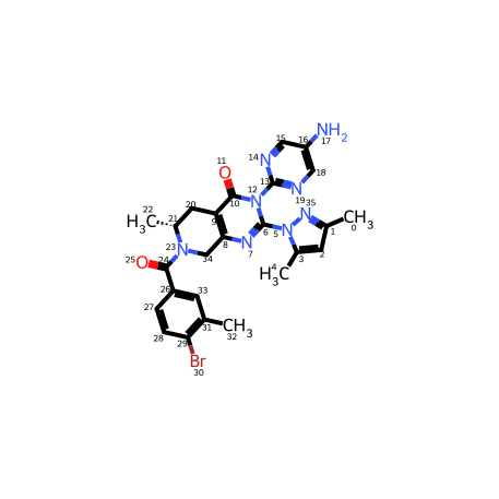 Cc1cc(C)n(-c2nc3c(c(=O)n2-c2ncc(N)cn2)C[C@@H](C)N(C(=O)c2ccc(Br)c(C)c2)C3)n1